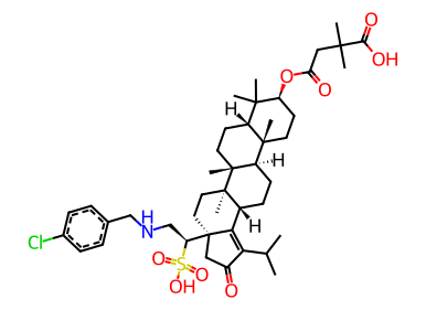 CC(C)C1=C2[C@H]3CC[C@@H]4[C@@]5(C)CC[C@H](OC(=O)CC(C)(C)C(=O)O)C(C)(C)[C@H]5CC[C@@]4(C)[C@]3(C)CC[C@@]2([C@H](CNCc2ccc(Cl)cc2)S(=O)(=O)O)CC1=O